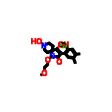 COCCON1C(=O)C(c2cc(C)c(C)cc2Cl)=C(O)C12CCN(O)CC2